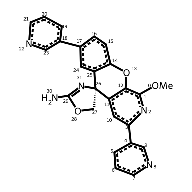 COc1nc(-c2cccnc2)cc2c1Oc1ccc(-c3cccnc3)cc1[C@@]21COC(N)=N1